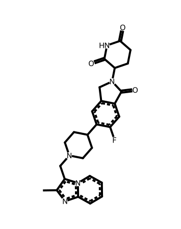 Cc1nc2ccccn2c1CN1CCC(c2cc3c(cc2F)C(=O)N(C2CCC(=O)NC2=O)C3)CC1